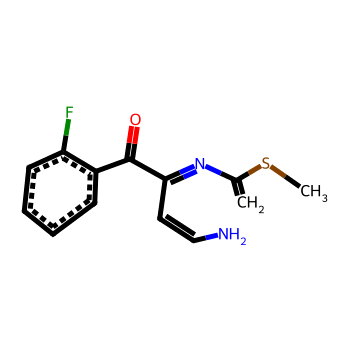 C=C(/N=C(\C=C/N)C(=O)c1ccccc1F)SC